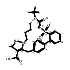 CCCCN1NC(C)C(C(=O)O)=C1Cc1ccc(-c2ccccc2S(=O)(=O)NC(=O)OC(C)(C)C)cc1